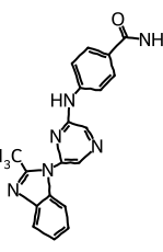 Cc1nc2ccccc2n1-c1cncc(Nc2ccc(C(N)=O)cc2)n1